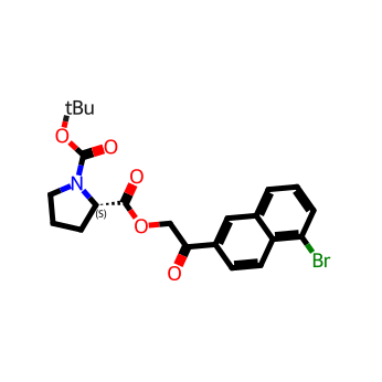 CC(C)(C)OC(=O)N1CCC[C@H]1C(=O)OCC(=O)c1ccc2c(Br)cccc2c1